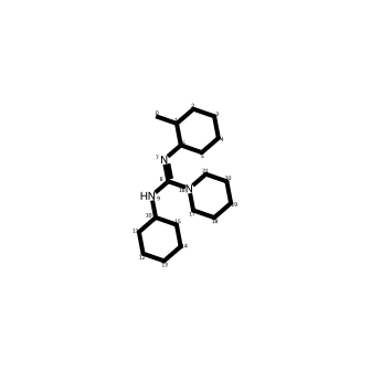 CC1CCCCC1N=C(NC1CCCCC1)N1CCCCC1